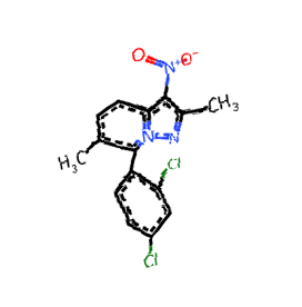 Cc1ccc2c([N+](=O)[O-])c(C)nn2c1-c1ccc(Cl)cc1Cl